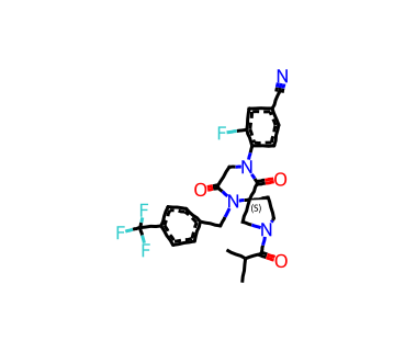 CC(C)C(=O)N1CC[C@]2(C1)C(=O)N(c1ccc(C#N)cc1F)CC(=O)N2Cc1ccc(C(F)(F)F)cc1